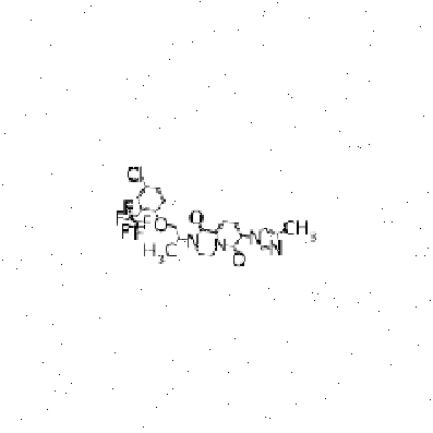 Cc1cn(-c2ccc3n(c2=O)CCN([C@@H](C)COc2ccc(Cl)cc2S(F)(F)(F)(F)F)C3=O)cn1